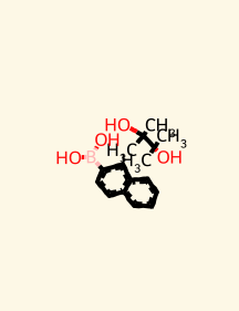 CC(C)(O)C(C)(C)O.OB(O)c1ccc2ccccc2c1